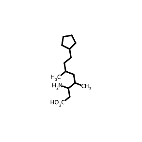 CC(CCC1CCCC1)CC(C)C(N)CC(=O)O